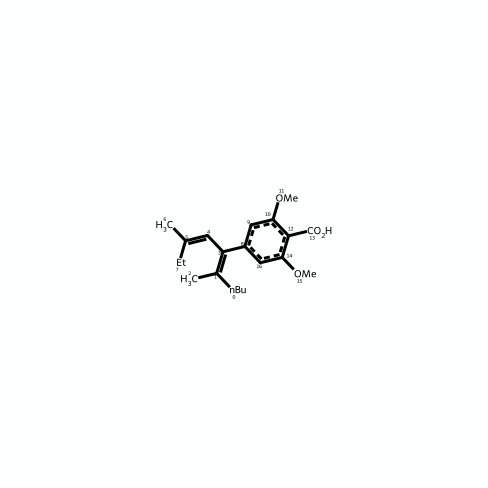 CCCC/C(C)=C(/C=C(/C)CC)c1cc(OC)c(C(=O)O)c(OC)c1